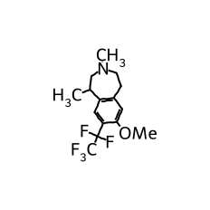 COc1cc2c(cc1C(F)(F)C(F)(F)F)C(C)CN(C)CC2